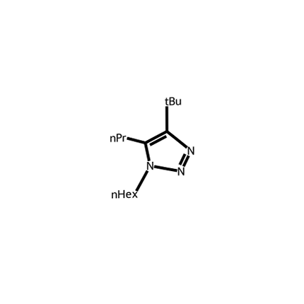 CCCCCCn1nnc(C(C)(C)C)c1CCC